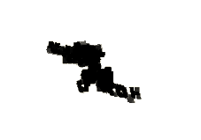 CNc1ncc2nc(C)n(CCOc3ccc(Cl)cc3-c3cc(C)nc4c(C(=O)O)csc34)c(=O)c2c1C#N